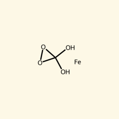 OC1(O)OO1.[Fe]